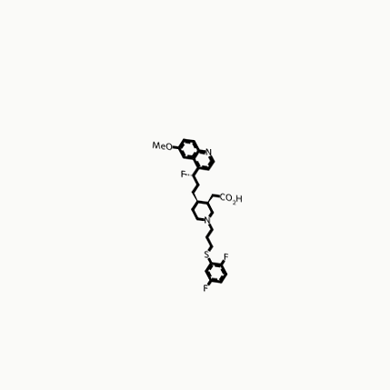 COc1ccc2nccc([C@@H](F)CC[C@@H]3CCN(CCCSc4cc(F)ccc4F)C[C@@H]3CC(=O)O)c2c1